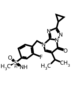 CC(C)c1cn(Cc2ccc([S@](C)(=N)=O)cc2F)c2nc(C3CC3)nn2c1=O